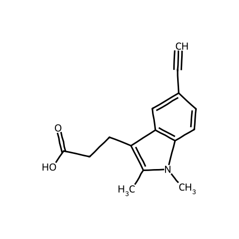 C#Cc1ccc2c(c1)c(CCC(=O)O)c(C)n2C